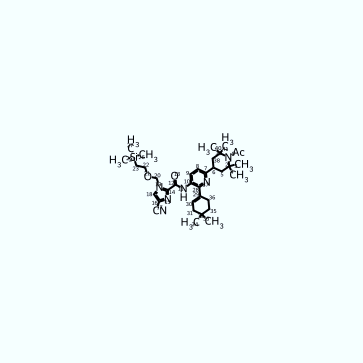 CC(=O)N1C(C)(C)CC(c2ccc(NC(=O)c3nc(C#N)cn3COCC[Si](C)(C)C)c(C3=CCC(C)(C)CC3)n2)CC1(C)C